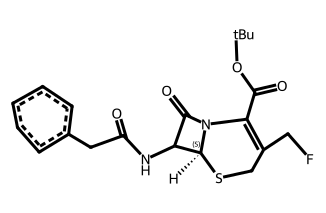 CC(C)(C)OC(=O)C1=C(CF)CS[C@H]2C(NC(=O)Cc3ccccc3)C(=O)N12